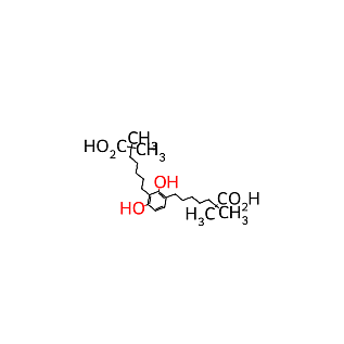 CC(C)(CCCCCc1ccc(O)c(CCCCCC(C)(C)C(=O)O)c1O)C(=O)O